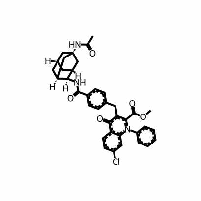 COC(=O)c1c(Cc2ccc(C(=O)N[C@@H]3[C@@H]4C[C@@H]5C[C@H]3C[C@@](NC(C)=O)(C5)C4)cc2)c(=O)c2ccc(Cl)cc2n1-c1ccccc1